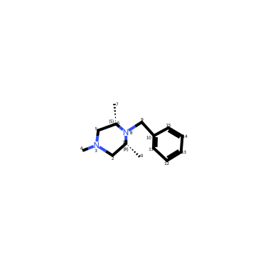 C[C@@H]1CN(C)C[C@H](C)N1Cc1ccccc1